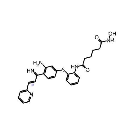 N=C(/C=C/c1ccccn1)c1ccc(Sc2ccccc2NC(=O)CCCCC(=O)NO)cc1N